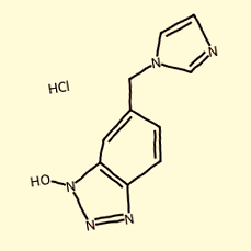 Cl.On1nnc2ccc(Cn3ccnc3)cc21